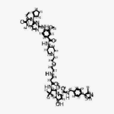 CC[C@@H]1C(=O)N(C)c2cnc(Nc3ccc(C(=O)NC4CCN(CCOCCNCCC(=O)NC(C(=O)N5C[C@H](O)C[C@H]5C(=O)NCc5ccc(-c6scnc6C)cc5)C(C)(C)C)CC4)cc3OC)nc2N1C1CCCC1